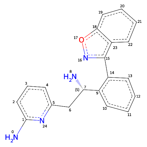 Nc1cccc(C[C@H](N)c2ccccc2-c2noc3ccccc23)n1